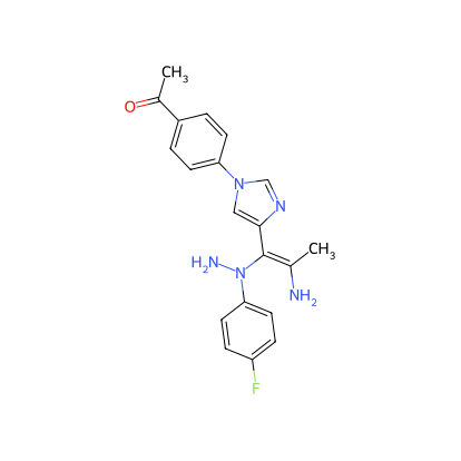 CC(=O)c1ccc(-n2cnc(/C(=C(\C)N)N(N)c3ccc(F)cc3)c2)cc1